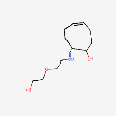 OCCOCCN[C@H]1CC/C=C\CCC1O